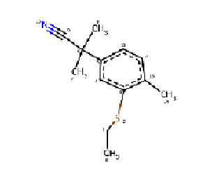 CCSc1cc(C(C)(C)C#N)ccc1C